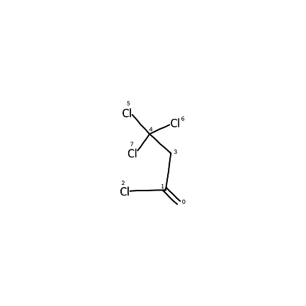 C=C(Cl)CC(Cl)(Cl)Cl